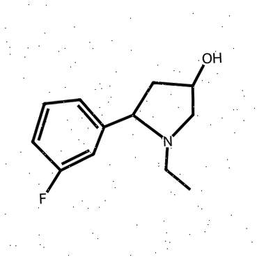 CCN1CC(O)CC1c1cccc(F)c1